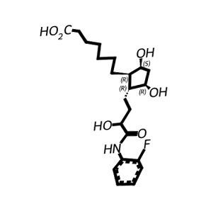 O=C(O)CCCCCC[C@@H]1[C@@H](CCC(O)C(=O)Nc2ccccc2F)[C@H](O)C[C@@H]1O